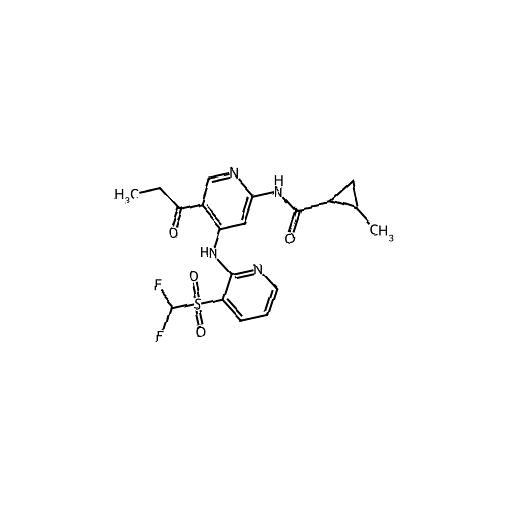 CCC(=O)c1cnc(NC(=O)C2CC2C)cc1Nc1ncccc1S(=O)(=O)C(F)F